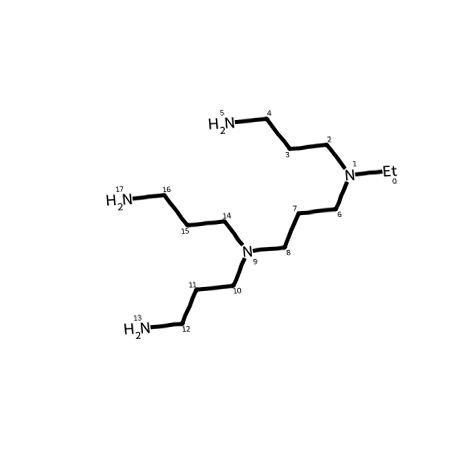 CCN(CCCN)CCCN(CCCN)CCCN